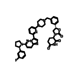 O=C1CCC(N2C[C@H](c3cccc(CN4CCN(c5cccc(-c6cnc7ccc(N8CCC[C@@H]8c8cccc(F)c8)nn67)n5)CC4)c3)OC2=O)C(=O)N1